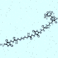 CCC(NC(C)=O)C(=O)NC(CCCCNC(=O)CCSC1CC(=O)N(CCC(=O)NCCSSCCNC(=O)CCN2C(=O)CC(P)C2=O)C1=O)C(C)=O